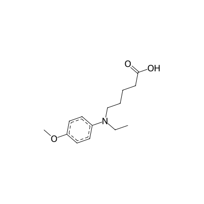 CCN(CCCCC(=O)O)c1ccc(OC)cc1